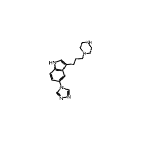 c1cc2[nH]cc(CCCN3CCNCC3)c2cc1-n1cnnc1